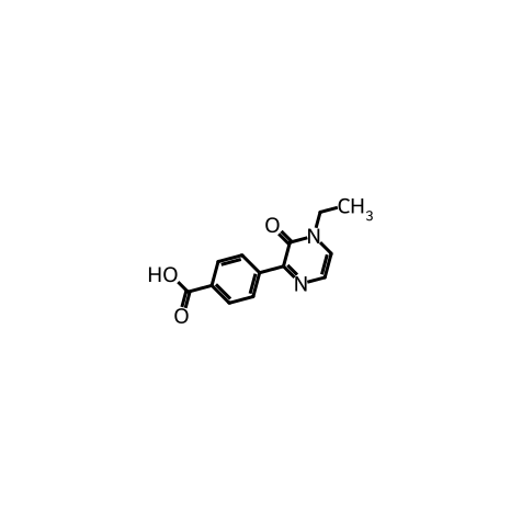 CCn1ccnc(-c2ccc(C(=O)O)cc2)c1=O